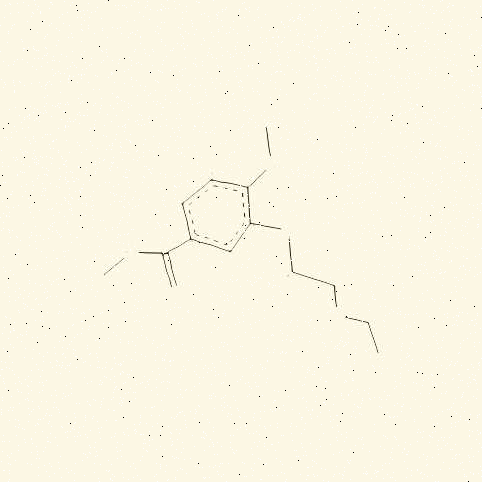 CCOCCOc1cc(C(=O)OC)ccc1SC